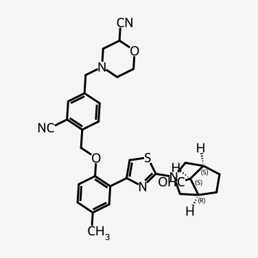 Cc1ccc(OCc2ccc(CN3CCOC(C#N)C3)cc2C#N)c(-c2csc(N3C[C@H]4CC[C@@H](C3)[C@H]4C=O)n2)c1